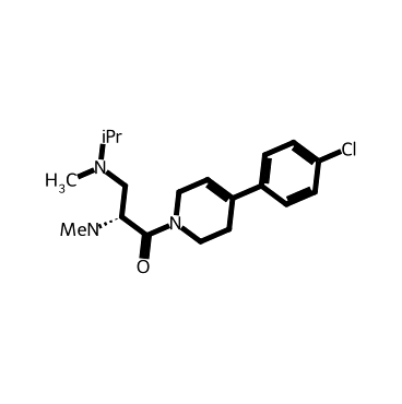 CN[C@H](CN(C)C(C)C)C(=O)N1CC=C(c2ccc(Cl)cc2)CC1